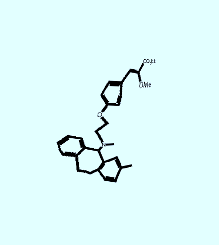 CCOC(=O)C(Cc1ccc(OCCN(C)C2c3ccccc3CCc3ccc(C)cc32)cc1)OC